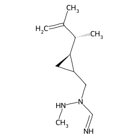 C=C(C)[C@H](C)[C@@H]1CC1CN(C=N)NC